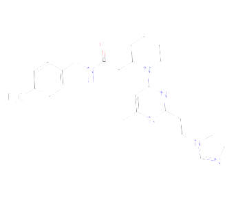 Cc1cc(N2CCCCC2CC(=O)NCc2ccc(C(F)(F)F)cc2)nc(CCn2ccnc2)n1